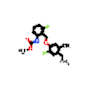 CCc1cc(F)c(OCc2c(F)cccc2NC(=O)OC)cc1C